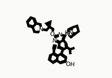 C#Cc1cccc2cc(O)cc(-c3c(C(C)C)cc4c(N5CC6CCC(C5)N6)nc(OCC5(CN6CCc7ccccc7C6)CC5)nc4c3F)c12